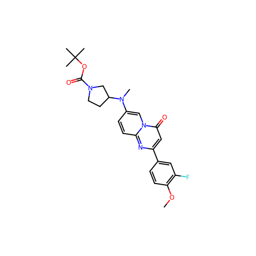 COc1ccc(-c2cc(=O)n3cc(N(C)C4CCN(C(=O)OC(C)(C)C)C4)ccc3n2)cc1F